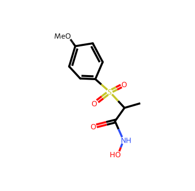 COc1ccc(S(=O)(=O)C(C)C(=O)NO)cc1